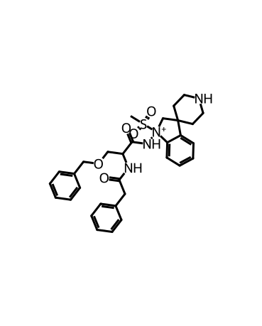 CS(=O)(=O)[N+]1(NC(=O)C(COCc2ccccc2)NC(=O)Cc2ccccc2)CC2(CCNCC2)c2ccccc21